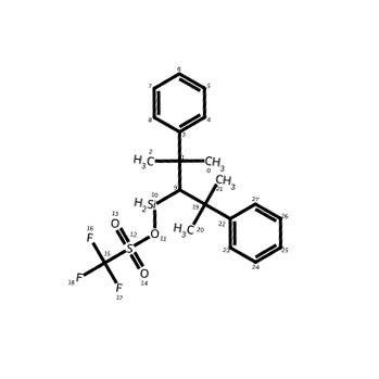 CC(C)(c1ccccc1)C([SiH2]OS(=O)(=O)C(F)(F)F)C(C)(C)c1ccccc1